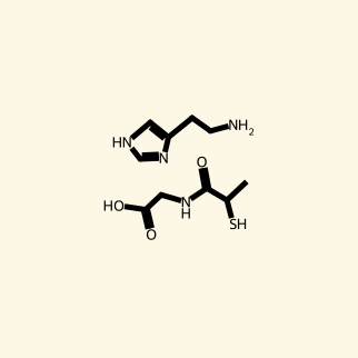 CC(S)C(=O)NCC(=O)O.NCCc1c[nH]cn1